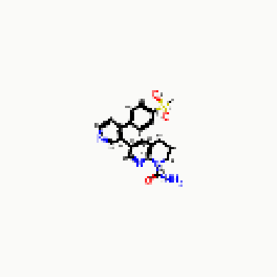 CS(=O)(=O)c1ccc(-c2ccncc2-c2cnc3c(c2)CCCN3C(N)=O)cc1